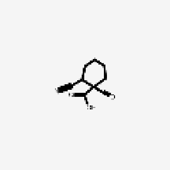 N#CC1CCCCC1(C=O)C(=O)O